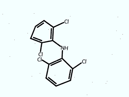 Clc1cccc(Cl)c1Nc1c(Cl)cccc1Cl